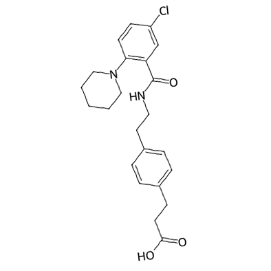 O=C(O)CCc1ccc(CCNC(=O)c2cc(Cl)ccc2N2CCCCC2)cc1